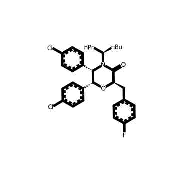 CCCC[C@H](CCC)N1C(=O)[C@@H](Cc2ccc(F)cc2)O[C@H](c2ccc(Cl)cc2)[C@@H]1c1ccc(Cl)cc1